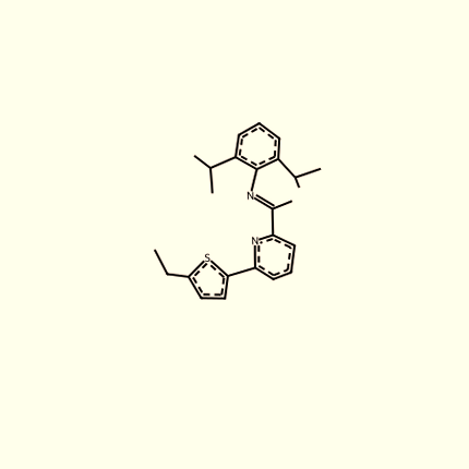 CCc1ccc(-c2cccc(C(C)=Nc3c(C(C)C)cccc3C(C)C)n2)s1